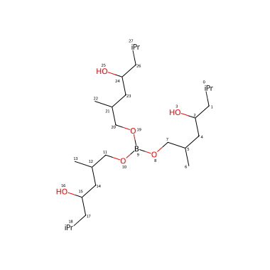 CC(C)CC(O)CC(C)COB(OCC(C)CC(O)CC(C)C)OCC(C)CC(O)CC(C)C